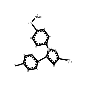 CNSc1ccc(-n2nc(C(F)(F)F)cc2-c2ccc(C)cc2)cc1